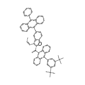 C=C(c1oc2ccc(-c3c4ccccc4c(-c4ccccc4)c4ccccc34)cc2c1/C=C\C)c1c2ccccc2c(-c2cc(C(C)(C)C)cc(C(C)(C)C)c2)c2ccccc12